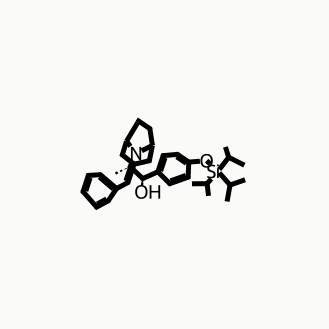 CC(C)[Si](Oc1ccc([C@H](O)[C@H](C)N2C3CCC2CC(=Cc2ccccc2)C3)cc1)(C(C)C)C(C)C